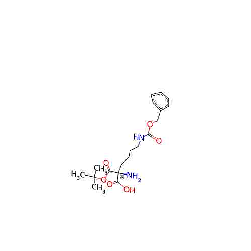 CC(C)(C)OC(=O)[C@](N)(CCCCNC(=O)OCc1ccccc1)C(=O)O